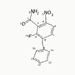 NC(=O)c1c([N+](=O)[O-])ccc(-c2ccccc2)c1F